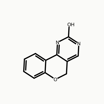 Oc1ncc2c(n1)-c1ccccc1OC2